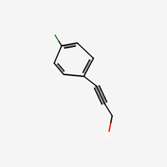 OCC#Cc1ccc(F)cc1